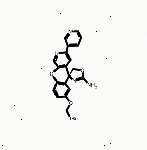 CC(C)(C)COc1ccc2c(c1)[C@]1(COC(N)=N1)c1cc(-c3cccnc3)ncc1O2